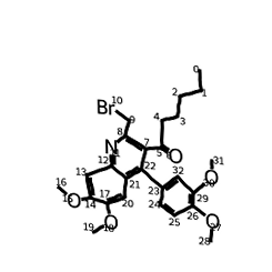 CCCCCC(=O)c1c(CBr)nc2cc(OC)c(OC)cc2c1-c1ccc(OC)c(OC)c1